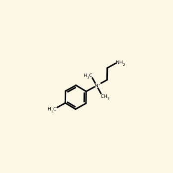 Cc1ccc([N+](C)(C)CCN)cc1